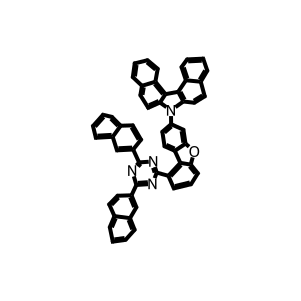 c1ccc2cc(-c3nc(-c4ccc5ccccc5c4)nc(-c4cccc5oc6cc(-n7c8ccc9ccccc9c8c8c9ccccc9ccc87)ccc6c45)n3)ccc2c1